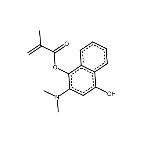 C=C(C)C(=O)Oc1c(N(C)C)cc(O)c2ccccc12